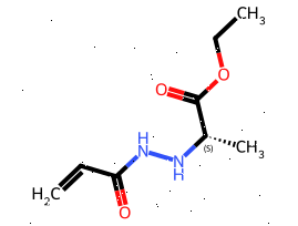 C=CC(=O)NN[C@@H](C)C(=O)OCC